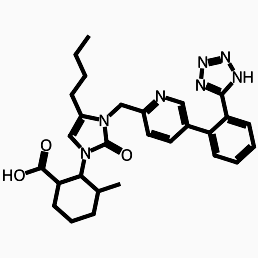 CCCCc1cn(C2C(C)CCCC2C(=O)O)c(=O)n1Cc1ccc(-c2ccccc2-c2nnn[nH]2)cn1